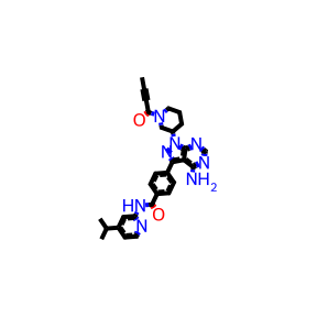 CC#CC(=O)N1CCCC(n2nc(-c3ccc(C(=O)Nc4cc(C(C)C)ccn4)cc3)c3c(N)ncnc32)C1